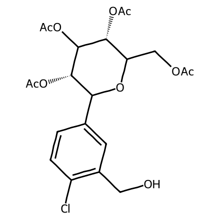 CC(=O)OCC1OC(c2ccc(Cl)c(CO)c2)[C@H](OC(C)=O)C(OC(C)=O)[C@@H]1OC(C)=O